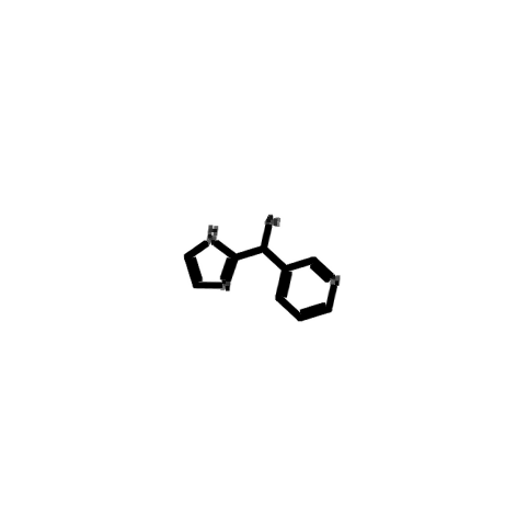 CC(=O)C(c1cccnc1)c1ncc[nH]1